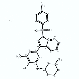 Cc1ccc(S(=O)(=O)n2cc(-c3nc(C)c(F)c(N[C@@H]4CCC[C@H](N)C4)n3)c3cncnc32)cc1